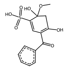 COC1(O)CC(O)=C(C(=O)c2ccccc2)C=C1S(=O)(=O)O